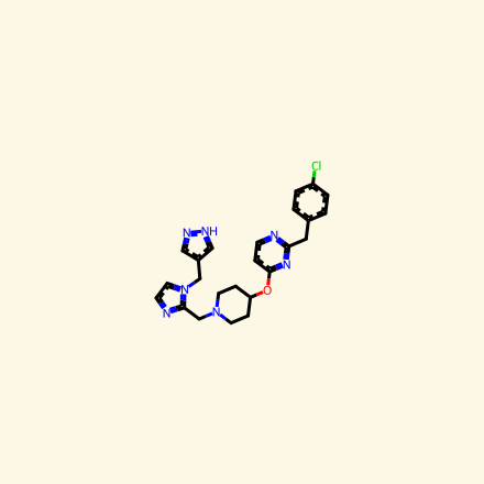 Clc1ccc(Cc2nccc(OC3CCN(Cc4nccn4Cc4cn[nH]c4)CC3)n2)cc1